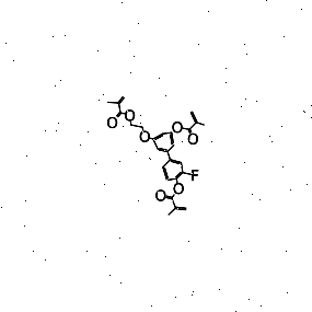 C=C(C)C(=O)OCCOc1cc(OC(=O)C(=C)C)cc(-c2ccc(OC(=O)C(=C)C)c(F)c2)c1